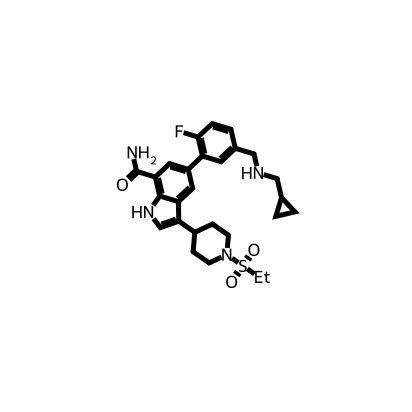 CCS(=O)(=O)N1CCC(c2c[nH]c3c(C(N)=O)cc(-c4cc(CNCC5CC5)ccc4F)cc23)CC1